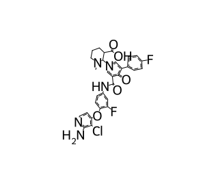 CN1CCCC(C(=O)O)C1n1cc(C(=O)Nc2ccc(Oc3ccnc(N)c3Cl)c(F)c2)c(=O)c(-c2ccc(F)cc2)c1